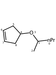 CCCC(C)OC1CC=CC1